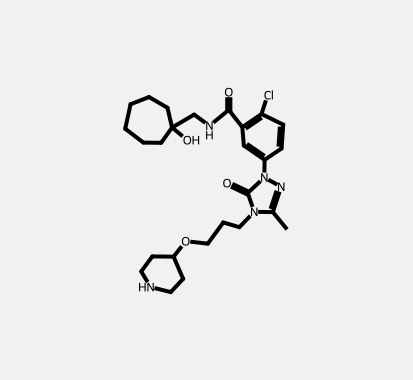 Cc1nn(-c2ccc(Cl)c(C(=O)NCC3(O)CCCCCC3)c2)c(=O)n1CCCOC1CCNCC1